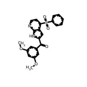 COc1cc(OC)cc(C(=O)c2cc3c(S(=O)(=O)c4ccccc4)ccnc3[nH]2)c1